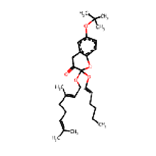 CCCCC=COC1(OC/C=C(\C)CCC=C(C)C)Oc2ccc(OC(C)(C)C)cc2CC1=O